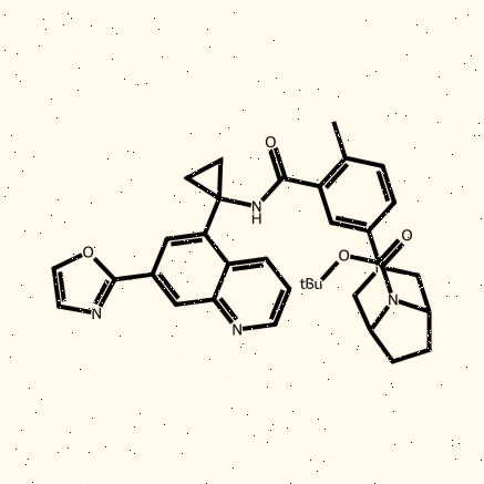 Cc1ccc(N2CC3CCC(C2)N3C(=O)OC(C)(C)C)cc1C(=O)NC1(c2cc(-c3ncco3)cc3ncccc23)CC1